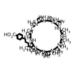 CC[C@@H]1NC(=O)[C@H]([C@H](O)[C@H](C)CCCc2ccc(C(=O)O)cc2)N(C)C(=O)[C@H](C(C)C)N(C)C(=O)[C@H](CC(C)C)N(C)C(=O)[C@H](CC(C)C)N(C)C(=O)[C@H](C)NC(=O)[C@@H](C)NC(=O)[C@@H](CC(C)C)N(C)C(=O)[C@@H](C(C)C)NC(=O)[C@H](CC(C)C)N(C)C(=O)CN(C)C1=O